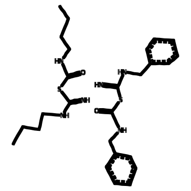 CCCCNC(=N)SC(=O)NCCCC.N=C(NCc1ccccc1)SC(=O)NCc1ccccc1